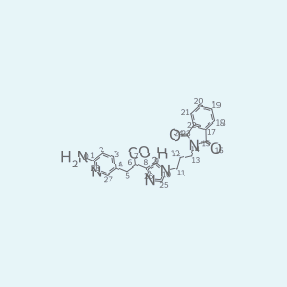 Nc1ccc(CC(C(=O)O)c2cn(CCCN3C(=O)c4ccccc4C3=O)cn2)cn1